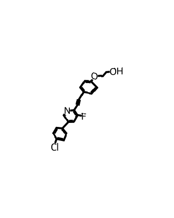 OCCOc1ccc(C#Cc2ncc(-c3ccc(Cl)cc3)cc2F)cc1